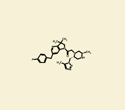 Cc1cnnn1C[C@H]1CN[C@H](C)CN1CC(=O)N1CC(C)(C)c2ncc(Cc3ccc(F)cc3)cc21